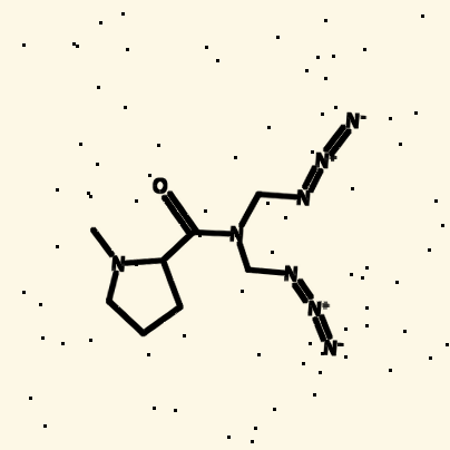 CN1CCCC1C(=O)N(CN=[N+]=[N-])CN=[N+]=[N-]